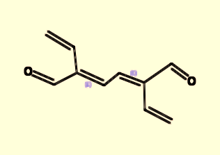 C=C/C(C=O)=C\C=C(/C=C)C=O